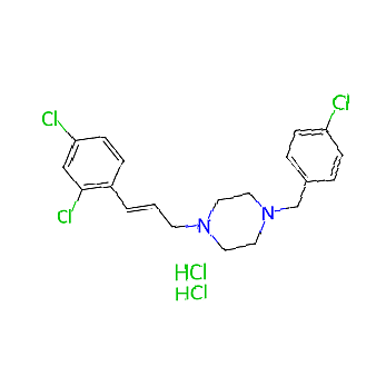 Cl.Cl.Clc1ccc(CN2CCN(CC=Cc3ccc(Cl)cc3Cl)CC2)cc1